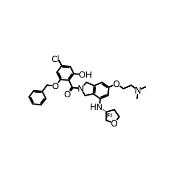 CN(C)CCOc1cc2c(c(N[C@@H]3CCOC3)c1)CN(C(=O)c1c(O)cc(Cl)cc1OCc1ccccc1)C2